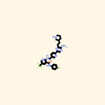 Nc1ncc(-c2ccc(CNc3ncc(C(F)(F)F)cc3C(=O)Nc3ccc(F)cc3)cn2)nc1CCC1CCCNC1